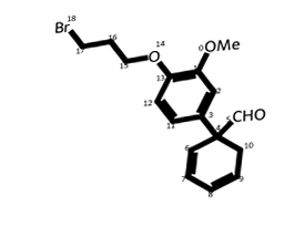 COc1cc(C2(C=O)C=CC=CC2)ccc1OCCCBr